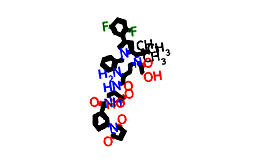 CC(C)(C)C(c1cc(-c2cc(F)ccc2F)cn1Cc1ccccc1)N(CCC(N)C(=O)NC(CNC(=O)c1cccc(N2C(=O)C=CC2=O)c1)C(=O)O)C(=O)CO